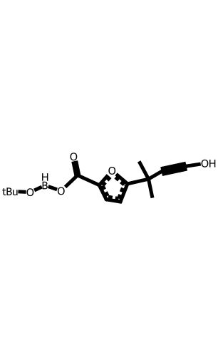 CC(C)(C)OBOC(=O)c1ccc(C(C)(C)C#CO)o1